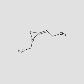 CCC=C1CN1CC